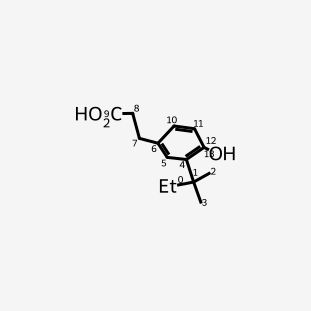 CCC(C)(C)c1cc(CCC(=O)O)ccc1O